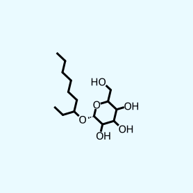 CCCCCCC(CC)O[C@@H]1OC(CO)C(O)C(O)C1O